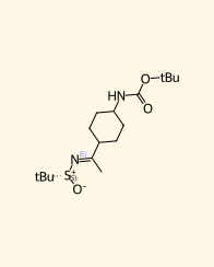 C/C(=N\[S@+]([O-])C(C)(C)C)C1CCC(NC(=O)OC(C)(C)C)CC1